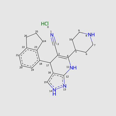 Cl.N#CC1=C(C2CCNCC2)Nc2n[nH]cc2C1c1cccc2c1CCC2